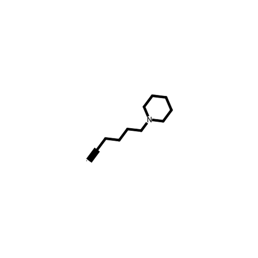 [C]#CCCCCN1CCCCC1